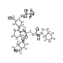 CC(C)(C)c1ccc(CN(C(=O)CCC(=O)NC2CCc3ccccc32)c2ccccc2Oc2cccc(CN)c2)cc1.O=C(O)C(F)(F)F